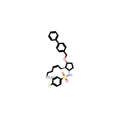 O=C(O)CC/C=C\C[C@@H]1[C@@H](NS(=O)(=O)c2ccc(F)cc2)CC[C@@H]1OCc1ccc(-c2ccccc2)cc1